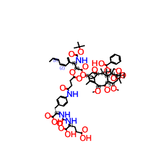 C=C(/C=C\C=C/C)[C@H](NC(=O)OC(C)(C)C)[C@@H](OC(=O)CCC(=O)Nc1ccc(C[C@H](NC(=O)N[C@@H](CCC(=O)O)C(=O)O)C(=O)O)cc1)C(=O)O[C@H]1C[C@]2(O)C(C)(C)C(=C1C)[C@@H](OC)C(=O)[C@]1(C)[C@@H](OC)C[C@H]3OC[C@@]3(OC(C)=O)[C@H]1[C@@]2(C)OC(=O)c1ccccc1